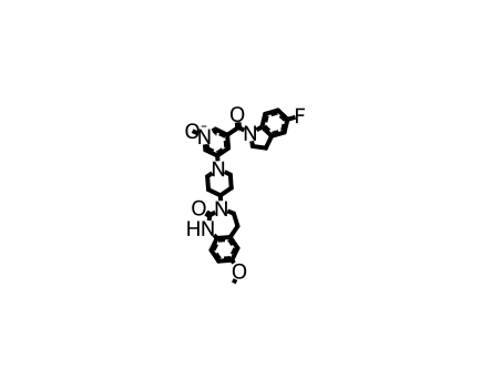 COc1ccc2c(c1)CCN(C1CCN(c3cc(C(=O)N4CCc5cc(F)ccc54)c[n+]([O-])c3)CC1)C(=O)N2